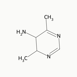 CC1=NC=NC(C)C1N